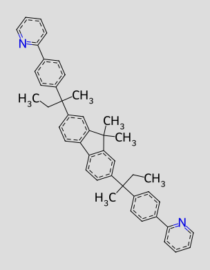 CCC(C)(c1ccc(-c2ccccn2)cc1)c1ccc2c(c1)C(C)(C)c1cc(C(C)(CC)c3ccc(-c4ccccn4)cc3)ccc1-2